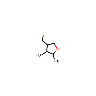 CC1OCC(CF)C1C